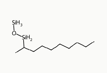 CCCCCCCCC(C)[SiH2]O[SiH3]